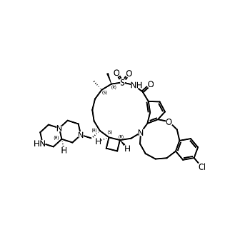 C[C@@H]1[C@@H](C)CCC[C@@H](CN2CCN3CCNC[C@@H]3C2)[C@@H]2CC[C@H]2CN2CCCCc3cc(Cl)ccc3COc3ccc(cc32)C(=O)NS1(=O)=O